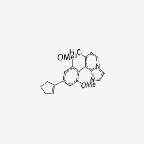 COc1cc(C2=CCCC2)cc(OC)c1-c1c(C)ccn2ccnc12